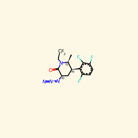 C[C@H]1[C@@H](c2c(F)ccc(F)c2F)C[C@@H](N=[N+]=[N-])C(=O)N1CC(F)(F)F